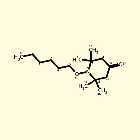 CCCCCCON1C(C)(C)CC(=O)CC1(C)C